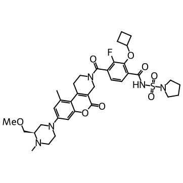 COC[C@H]1CN(c2cc(C)c3c4c(c(=O)oc3c2)CN(C(=O)c2ccc(C(=O)NS(=O)(=O)N3CCCC3)c(OC3CCC3)c2F)CC4)CCN1C